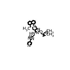 CCc1cccc2cccc(N3CCc4c(nc(OCC5(CN(C)C)CC5)nc4NCc4nc(-c5ccncc5)no4)C3)c12